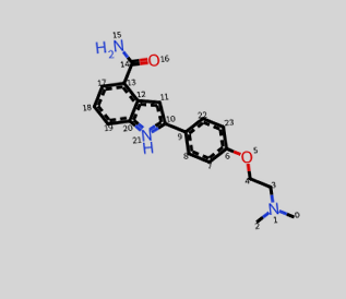 CN(C)CCOc1ccc(-c2cc3c(C(N)=O)cccc3[nH]2)cc1